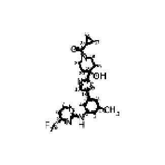 Cc1cc(Nc2nccc(C(F)(F)F)n2)cc(-c2cnc(C3(O)CCN(C(=O)C4CC4)CC3)s2)c1